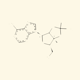 CC1(C)O[C@H]2[C@H](O1)[C@@H](CN)O[C@H]2n1cnc2c(N)ncnc21